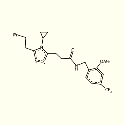 COc1cc(C(F)(F)F)ccc1CNC(=O)CCc1nnc(CCC(C)C)n1C1CC1